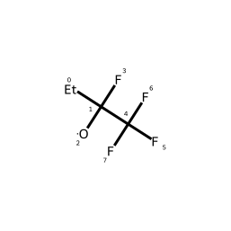 CCC([O])(F)C(F)(F)F